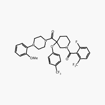 COc1ccccc1N1CCN(C(=O)C2(Oc3ccc(C(F)(F)F)cc3)CCCN(C(=O)c3c(F)cccc3C(F)(F)F)C2)CC1